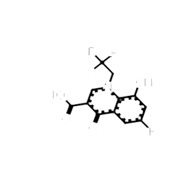 Cc1cc(F)cc2c(=O)c(C(=O)O)cn(CC(F)(F)F)c12